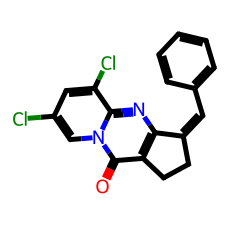 O=c1c2c(nc3c(Cl)cc(Cl)cn13)/C(=C\c1ccccc1)CC2